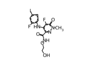 Cn1nc(C(=O)NOCCO)c(Nc2ccc(I)cc2F)c(F)c1=O